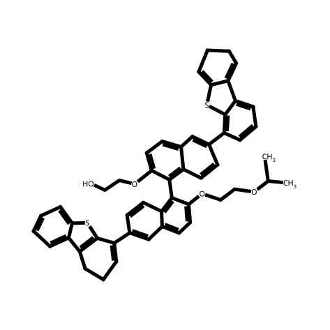 CC(C)OCCOc1ccc2cc(C3=CCCc4c3sc3ccccc43)ccc2c1-c1c(OCCO)ccc2cc(-c3cccc4c5c(sc34)=CCCC=5)ccc12